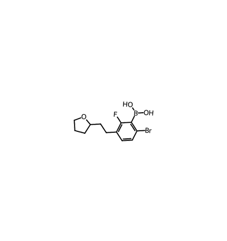 OB(O)c1c(Br)ccc(CCC2CCCO2)c1F